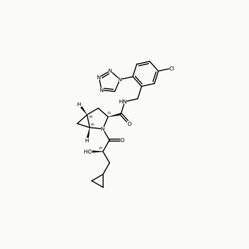 O=C(NCc1cc(Cl)ccc1-n1cnnn1)[C@@H]1C[C@H]2C[C@H]2N1C(=O)[C@H](O)CC1CC1